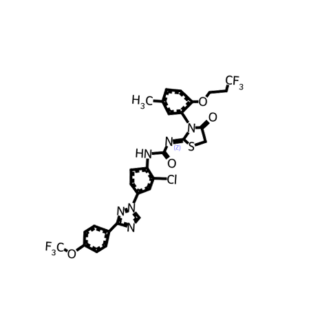 Cc1ccc(OCCC(F)(F)F)c(N2C(=O)CS/C2=N\C(=O)Nc2ccc(-n3cnc(-c4ccc(OC(F)(F)F)cc4)n3)cc2Cl)c1